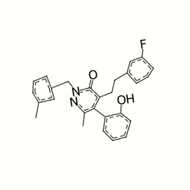 Cc1cccc(Cn2nc(C)c(-c3ccccc3O)c(CCc3cccc(F)c3)c2=O)c1